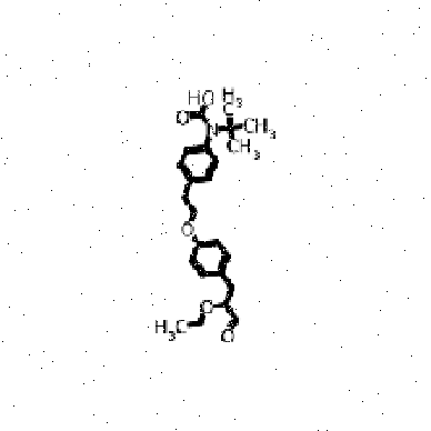 CCOC(C=O)Cc1ccc(OCCc2ccc(N(C(=O)O)C(C)(C)C)cc2)cc1